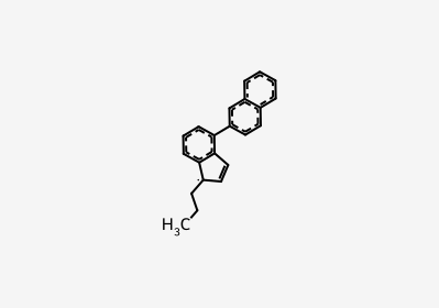 CCC[C]1C=Cc2c1cccc2-c1ccc2ccccc2c1